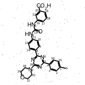 Cc1ccc(-c2nc(-c3ccc(NC(=O)Nc4cccc(C(=O)O)c4)cc3)nc(N3CCOCC3)n2)cc1